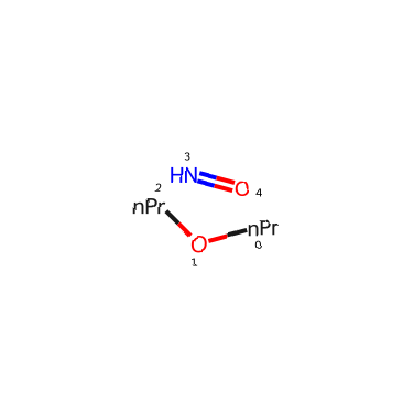 CCCOCCC.N=O